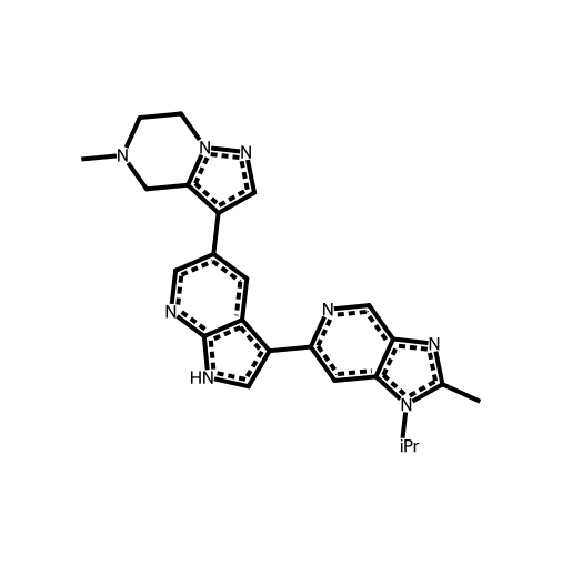 Cc1nc2cnc(-c3c[nH]c4ncc(-c5cnn6c5CN(C)CC6)cc34)cc2n1C(C)C